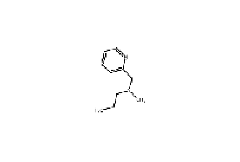 CCCN(C)Cc1c[c]ccn1